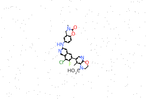 Cc1c(-c2cc3cc(Nc4ccc5c(c4)CN(C)C(=O)O5)ncc3c(Cl)c2F)cnc2c1N(C(=O)O)CCO2